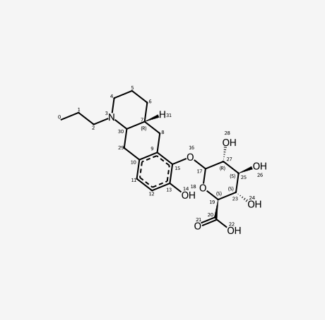 CCCN1CCC[C@@H]2Cc3c(ccc(O)c3OC3O[C@H](C(=O)O)[C@@H](O)[C@H](O)[C@H]3O)CC21